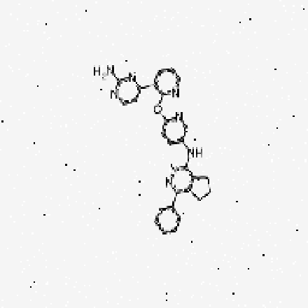 Nc1nccc(-c2cccnc2Oc2ccc(Nc3nnc(-c4ccccc4)c4c3CCC4)cn2)n1